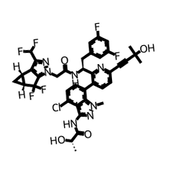 C[C@H](O)C(=O)Nc1nn(C)c2c(-c3ccc(C#CC(C)(C)O)nc3[C@H](Cc3cc(F)cc(F)c3)NC(=O)Cn3nc(C(F)F)c4c3C(F)(F)[C@@H]3C[C@H]43)ccc(Cl)c12